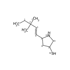 CCC(C)(C)/C=C/C1CC(S)CN1